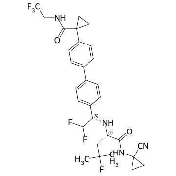 CC(C)(F)C[C@H](N[C@@H](c1ccc(-c2ccc(C3(C(=O)NCC(F)(F)F)CC3)cc2)cc1)C(F)F)C(=O)NC1(C#N)CC1